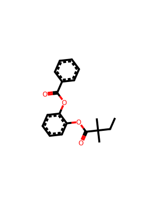 CCC(C)(C)C(=O)Oc1ccccc1OC(=O)c1ccccc1